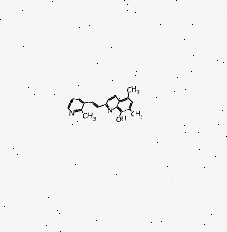 Cc1cc(C)c2ccc(/C=C/c3cccnc3C)nc2c1O